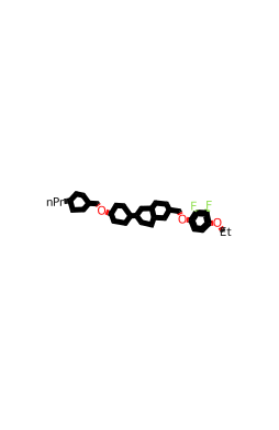 CCCC1CCC(COC2CCC(C3CCC4CC(COc5ccc(OCC)c(F)c5F)CCC4C3)CC2)CC1